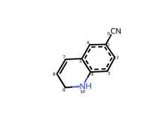 N#Cc1ccc2c(c1)C=CCN2